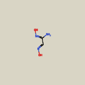 NC(C=NO)=NO